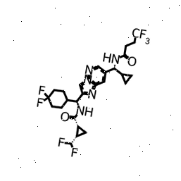 O=C(CCC(F)(F)F)N[C@@H](c1cnn2cc([C@@H](NC(=O)[C@@H]3C[C@@H]3C(F)F)C3CCC(F)(F)CC3)nc2c1)C1CC1